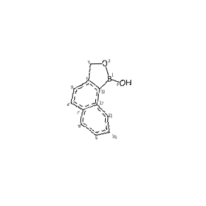 OB1OCc2ccc3ccccc3c21